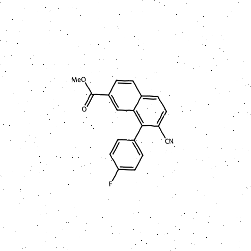 COC(=O)c1ccc2ccc(C#N)c(-c3ccc(F)cc3)c2c1